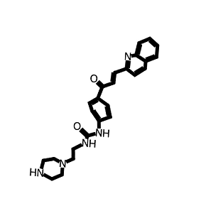 O=C(NCCN1CCNCC1)Nc1ccc(C(=O)/C=C/c2ccc3ccccc3n2)cc1